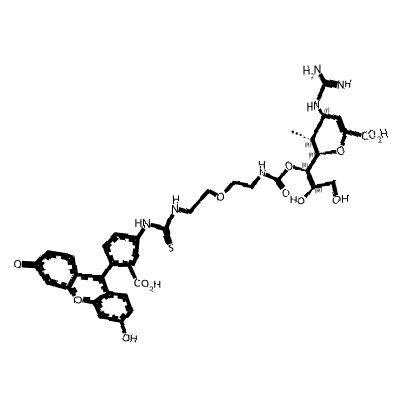 C[C@H]1[C@H]([C@H](OC(=O)NCCOCCNC(=S)Nc2ccc(-c3c4ccc(=O)cc-4oc4cc(O)ccc34)c(C(=O)O)c2)[C@H](O)CO)OC(C(=O)O)=C[C@@H]1NC(=N)N